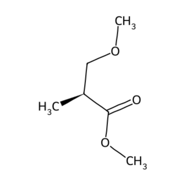 COC[C@H](C)C(=O)OC